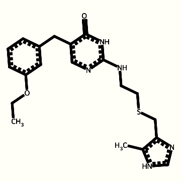 CCOc1cccc(Cc2cnc(NCCSCc3nc[nH]c3C)[nH]c2=O)c1